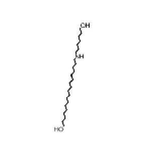 OCCCCCCCCCCCCCCCCCCNCCCCCCCO